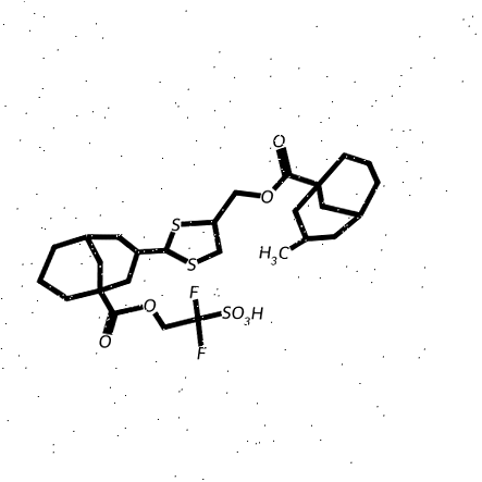 CC1CC2CCCC(C(=O)OCC3CSC(C4CC5CCCC(C(=O)OCC(F)(F)S(=O)(=O)O)(C5)C4)S3)(C1)C2